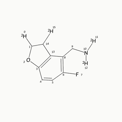 [2H]C1Oc2ccc(F)c(CN([2H])[2H])c2C1[2H]